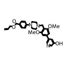 C=CCOC(=O)c1ccc(N2CCN(Cc3c(OC)cc(-c4cncc(O)c4)cc3OC)CC2)cc1